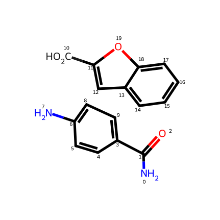 NC(=O)c1ccc(N)cc1.O=C(O)c1cc2ccccc2o1